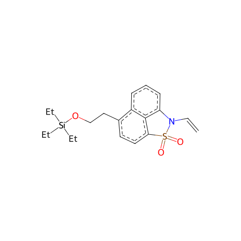 C=CN1c2cccc3c(CCO[Si](CC)(CC)CC)ccc(c23)S1(=O)=O